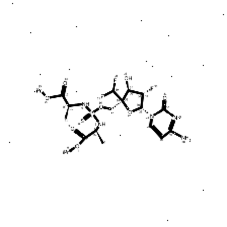 CC(C)OC(=O)[C@H](C)NP(=S)(N[C@@H](C)C(=O)OC(C)C)OC[C@@]1(C(F)F)O[C@@H](n2ccc(N)nc2=O)[C@@H](F)[C@@H]1O